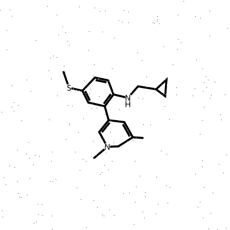 CSc1ccc(NCC2CC2)c(C2=CN(C)CC(C)=C2)c1